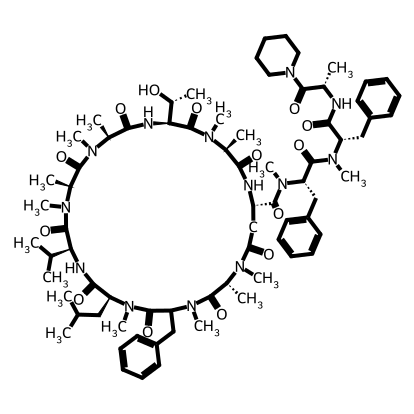 CC(C)C[C@H]1C(=O)N[C@@H](C(C)C)C(=O)N(C)[C@@H](C)C(=O)N(C)[C@@H](C)C(=O)N[C@@H]([C@@H](C)O)C(=O)N(C)[C@@H](C)C(=O)N[C@H](C(=O)N(C)[C@@H](Cc2ccccc2)C(=O)N(C)[C@@H](Cc2ccccc2)C(=O)N[C@@H](C)C(=O)N2CCCCC2)CC(=O)N(C)[C@H](C)C(=O)N(C)C(Cc2ccccc2)C(=O)N1C